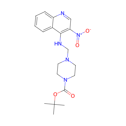 CC(C)(C)OC(=O)N1CCN(CNc2c([N+](=O)[O-])cnc3ccccc23)CC1